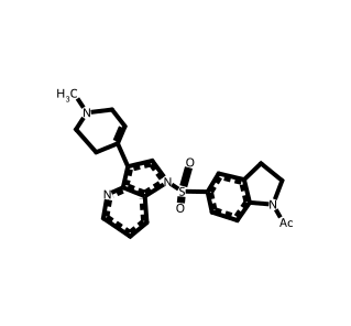 CC(=O)N1CCc2cc(S(=O)(=O)n3cc(C4=CCN(C)CC4)c4ncccc43)ccc21